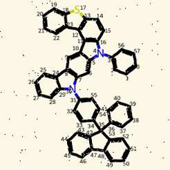 c1ccc(-n2c3cc4c(cc3c3c5c(ccc32)sc2ccccc25)c2ccccc2n4-c2ccc(C3(c4ccccc4)c4ccccc4-c4ccccc43)cc2)cc1